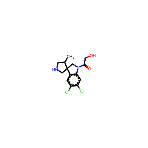 CC1CNCC12CN(C(=O)CO)c1cc(Cl)c(Cl)cc12